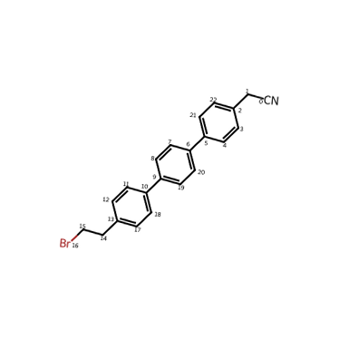 N#CCc1ccc(-c2ccc(-c3ccc(CCBr)cc3)cc2)cc1